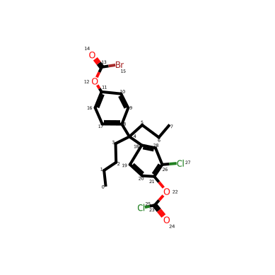 CCCCC(CCC)(c1ccc(OC(=O)Br)cc1)c1ccc(OC(=O)Cl)c(Cl)c1